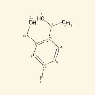 CC(O)c1ccc(F)cc1CO